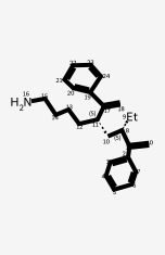 C=C(c1ccccc1)[C@@H](CC)C[C@H](CCCCN)C(=C)c1ccccc1